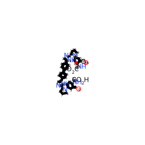 O=C=C1C[C@@H](N2CCC[C@H]2c2ncc(-c3ccc(-c4ccc(-c5cnc([C@@H]6CCCN6[C@H]6CC[C@@H](NC(=O)O)C(=C=O)C6)[nH]5)cc4)cc3)[nH]2)CC[C@H]1NC(=O)O